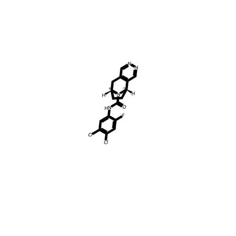 O=C(Nc1cc(Cl)c(Cl)cc1F)N1[C@@H]2CC[C@H]1c1cnncc1C2